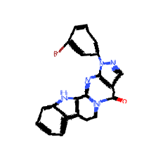 O=c1c2cnn(-c3cccc(Br)c3)c2nc2n1CCc1c-2[nH]c2ccccc12